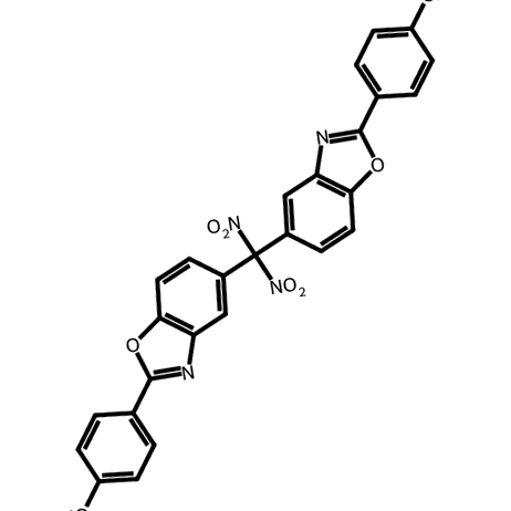 O=[N+]([O-])C(c1ccc2oc(-c3ccc(O)cc3)nc2c1)(c1ccc2oc(-c3ccc(O)cc3)nc2c1)[N+](=O)[O-]